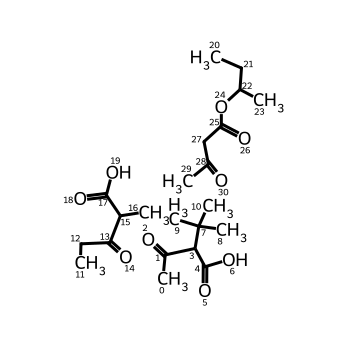 CC(=O)C(C(=O)O)C(C)(C)C.CCC(=O)C(C)C(=O)O.CCC(C)OC(=O)CC(C)=O